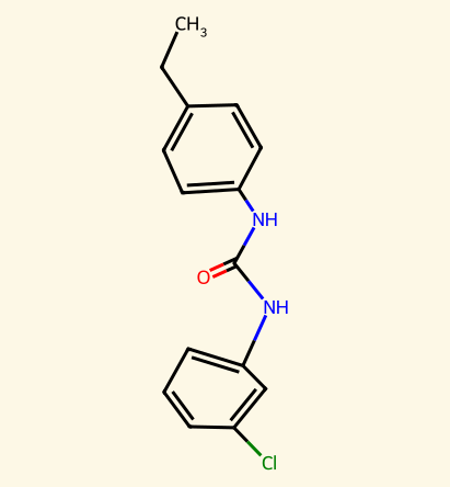 CCc1ccc(NC(=O)Nc2cccc(Cl)c2)cc1